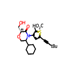 CC(C)(C)C#Cc1cc(N2C(=O)[C@@H](CO)OCC2C2CCCCC2)c(C(=O)O)s1